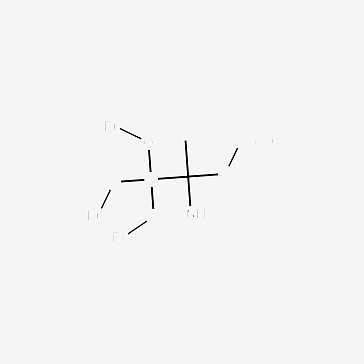 CCCCCOC(C)(N)[Si](OCC)(OCC)OCC